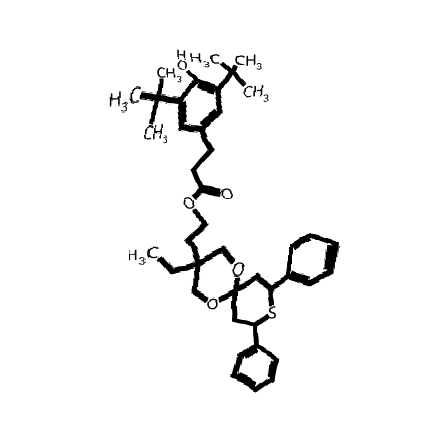 CCC1(CCOC(=O)CCc2cc(C(C)(C)C)c(O)c(C(C)(C)C)c2)COC2(CC(c3ccccc3)SC(c3ccccc3)C2)OC1